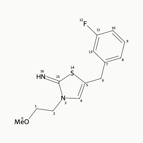 COCCn1cc(Cc2cccc(F)c2)sc1=N